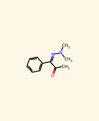 CC(=O)/C(=N\N(C)C)c1ccccc1